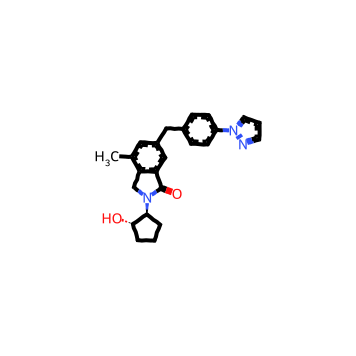 Cc1cc(Cc2ccc(-n3cccn3)cc2)cc2c1CN([C@H]1CCC[C@@H]1O)C2=O